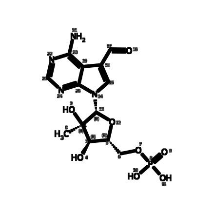 C[C@@]1(O)[C@H](O)[C@@H](COP(=O)(O)O)O[C@H]1n1cc(C=O)c2c(N)ncnc21